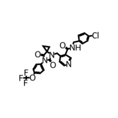 O=C(NCc1ccc(Cl)cc1)c1cnccc1CN1C(=O)N(c2ccc(OC(F)(F)F)cc2)C(=O)C12CC2